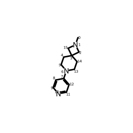 CN1CC2(CCN(c3ccncc3)CC2)C1